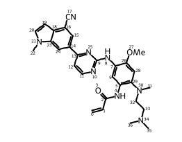 C=CC(=O)Nc1cc(Nc2nccc(-c3cc(C#N)c4ccn(C)c4c3)n2)c(OC)cc1N(C)CCN(C)C